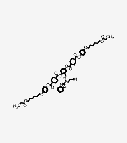 C=CC(=O)OCCCCCCOc1ccc(OC(=O)C2CCC(C(=O)Oc3ccc(OC(=O)C4CCC(C(=O)Oc5ccc(OCCCCCCOC(=O)C=C)cc5)CC4)c(/C=N/N(CCC#N)c4nc5ccccc5s4)c3)CC2)cc1